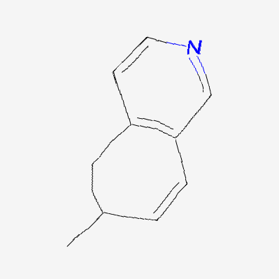 CC1C=Cc2cnccc2C1